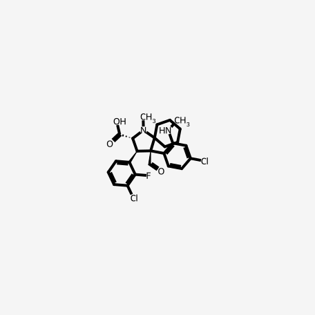 CNc1cc(Cl)ccc1[C@]1(C=O)[C@@H](c2cccc(Cl)c2F)[C@H](C(=O)O)N(C)C12CCCCC2